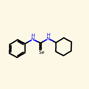 [Se]=C(Nc1ccccc1)NC1CCCCC1